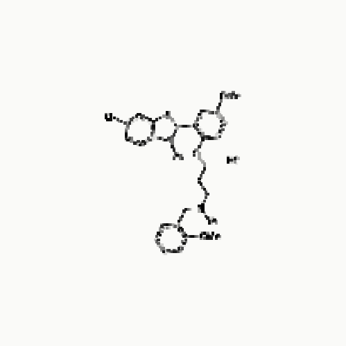 COc1ccc(OCCCN(Cc2ccccc2OC)C(C)C)c(C2Sc3cc(Cl)ccc3N2C(C)=O)c1.Cl